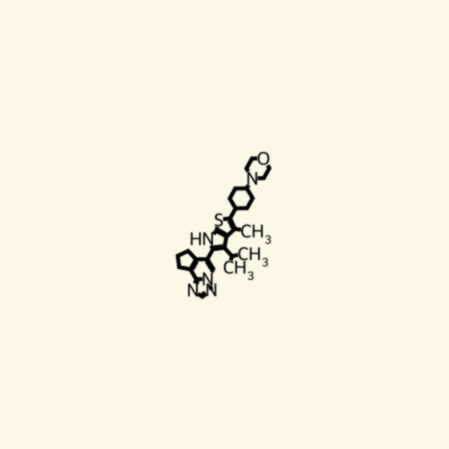 Cc1c(C2CCC(N3CCOCC3)CC2)sc2[nH]c(-c3cn4ncnc4c4c3CCC4)c(C(C)C)c12